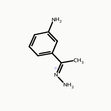 C/C(=N\N)c1cccc(N)c1